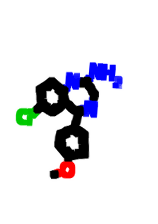 COc1ccc(C2=NCC(N)=Nc3ccc(Cl)cc32)cc1